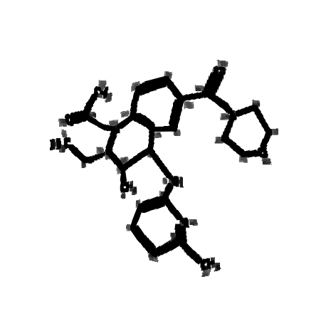 CC[C@H]1[C@H](C)C(Nc2cccc(C)n2)c2cc(C(=O)N3CCOCC3)ccc2N1C(C)=O